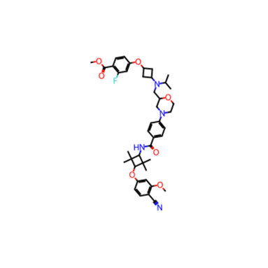 COC(=O)c1ccc(OC2CC(N(CC3CN(c4ccc(C(=O)NC5C(C)(C)C(Oc6ccc(C#N)c(OC)c6)C5(C)C)cc4)CCO3)C(C)C)C2)cc1F